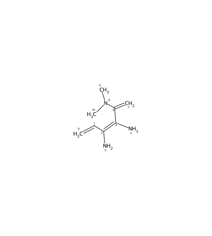 C=C/C(N)=C(/N)C(=C)N(C)C